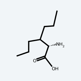 CCCC(CCC)[C@H](N)C(=O)O